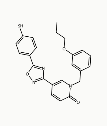 CCCOc1cccc(Cn2cc(-c3noc(-c4ccc(S)cc4)n3)ccc2=O)c1